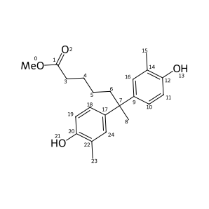 COC(=O)CCCCC(C)(c1ccc(O)c(C)c1)c1ccc(O)c(C)c1